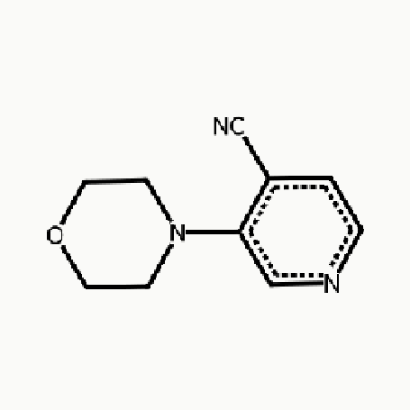 N#Cc1ccncc1N1CCOCC1